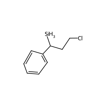 [SiH3]C(CCCl)c1ccccc1